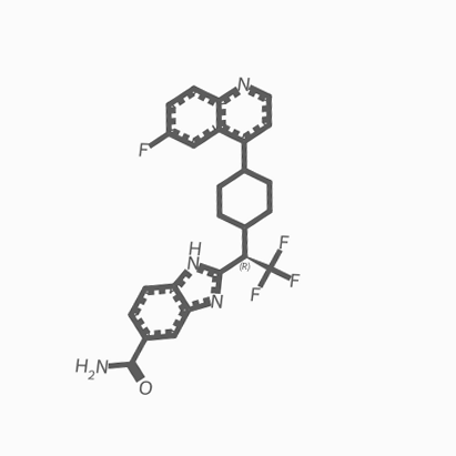 NC(=O)c1ccc2[nH]c([C@@H](C3CCC(c4ccnc5ccc(F)cc45)CC3)C(F)(F)F)nc2c1